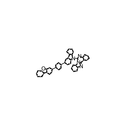 c1ccc2c(c1)nc(-n1c3ccccc3c3cc(-c4ccc(-c5ccc6c(c5)oc5ccccc56)cc4)ccc31)n1c3ccccc3nc21